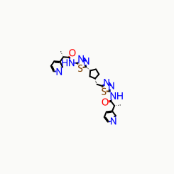 C[C@H](C(=O)Nc1nnc([C@@H]2CC[C@H](Cc3nnc(NC(=O)[C@H](C)c4cccnc4)s3)C2)s1)c1cccnc1